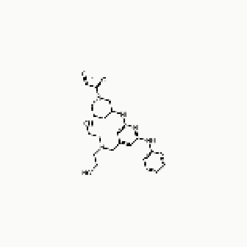 C=CC(=O)N1CCC[C@H](Nc2cc(CN(CCC)CCO)cc(Nc3ccccn3)n2)C1